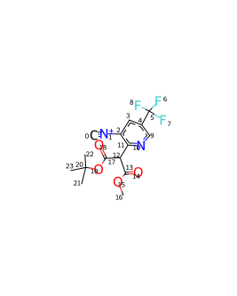 [C-]#[N+]c1cc(C(F)(F)F)cnc1C(C(=O)OC)C(=O)OC(C)(C)C